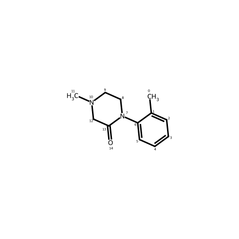 Cc1ccccc1N1CCN(C)CC1=O